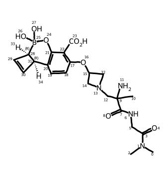 CN(C)C(=O)CNC(=O)C(C)(N)CN1CC(Oc2ccc3c(c2C(=O)O)O[B-](O)(O)[C@@H]2C=C[C@H]32)C1